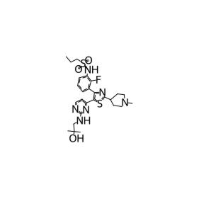 CCCS(=O)(=O)Nc1cccc(-c2nc(C3CCN(C)CC3)sc2-c2ccnc(NCC(C)(C)O)n2)c1F